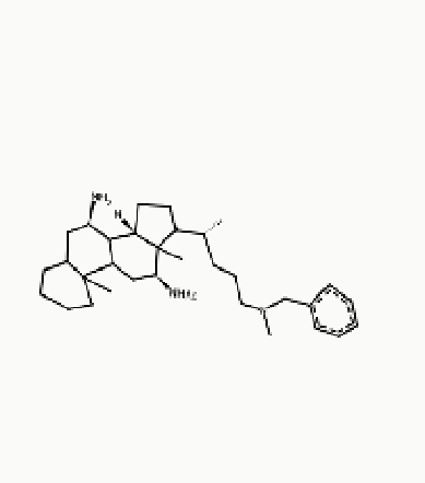 CC(=O)N[C@H]1CC2C([C@H](N)CC3CCCCC32C)[C@@H]2CCC([C@H](C)CCCN(C)Cc3ccccc3)C12C